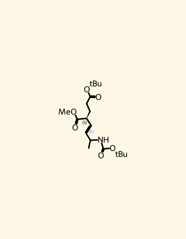 COC(=O)[C@H](/C=C/C(C)NC(=O)OC(C)(C)C)CCC(=O)OC(C)(C)C